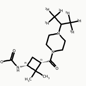 [2H]C([2H])([2H])C(N1CCN(C(=O)[C@H]2C[C@@H](NC(=O)O)C2(C)C)CC1)C([2H])([2H])[2H]